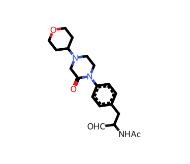 CC(=O)NC(C=O)Cc1ccc(N2CCN(C3CCOCC3)CC2=O)cc1